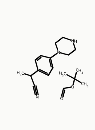 CC(C#N)c1ccc(N2CCNCC2)cc1.CC(C)(C)OC=O